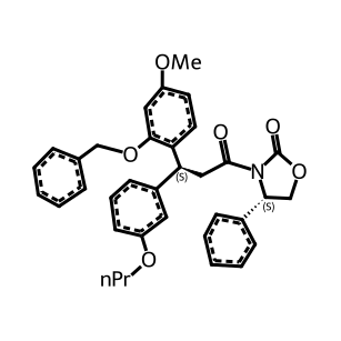 CCCOc1cccc([C@H](CC(=O)N2C(=O)OC[C@@H]2c2ccccc2)c2ccc(OC)cc2OCc2ccccc2)c1